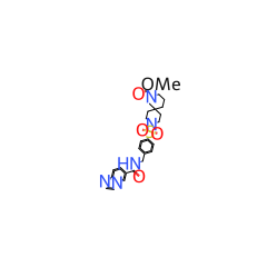 COC(=O)N1CCCC2(CCN(S(=O)(=O)c3ccc(CNC(=O)c4ccc5nccn5c4)cc3)CC2)C1